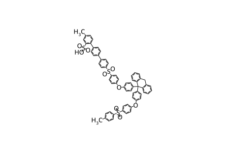 Cc1ccc(S(=O)(=O)c2ccc(Oc3ccc(C4(c5ccc(Oc6ccc(S(=O)(=O)c7ccc(-c8ccc(-c9ccc(C)cc9S(=O)(=O)O)cc8)cc7)cc6)cc5)c5ccccc5Cc5ccccc54)cc3)cc2)cc1